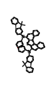 CC1(C)c2ccccc2-c2ccc(N(c3ccccc3)c3cc4ccccc4c4c3sc3c(N(c5ccccc5)c5ccc6c(c5)C(C)(C)c5ccccc5-6)cc5ccccc5c34)cc21